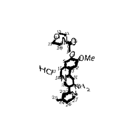 COc1cc2c(cc1OCC(=O)N1CCOCC1)CCN1CC(c3cc(C)ccn3)C(N)CC21.Cl